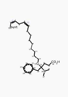 CCCCC/C=C\C/C=C\CCCCCCCCOC(CCC(=O)O)(Cc1ccccc1)N(C)C